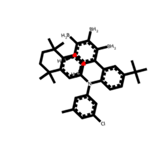 Bc1c(B)c(B)c(-c2cc(C(C)(C)C)ccc2N(c2cc(C)cc(Cl)c2)c2ccc3c(c2)C(C)(C)CCC3(C)C)c(B)c1B